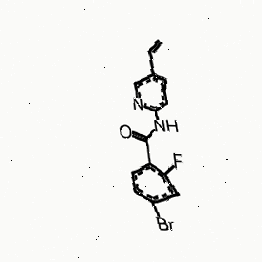 C=Cc1ccc(NC(=O)c2ccc(Br)cc2F)nc1